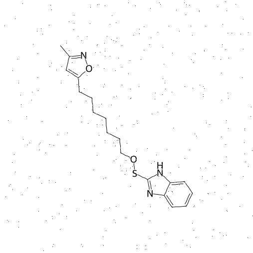 Cc1cc(CCCCCCCOSc2nc3ccccc3[nH]2)on1